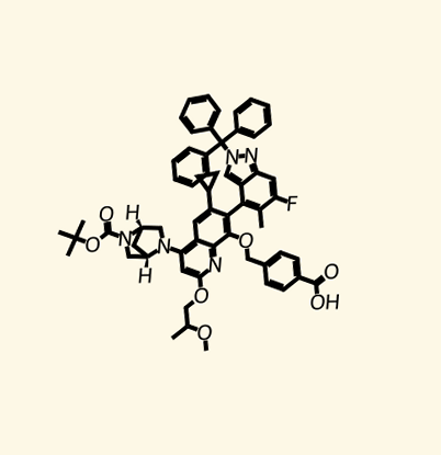 COC(C)COc1cc(N2C[C@@H]3C[C@H]2CN3C(=O)OC(C)(C)C)c2cc(C3CC3)c(-c3c(C)c(F)cc4nn(C(c5ccccc5)(c5ccccc5)c5ccccc5)cc34)c(OCc3ccc(C(=O)O)cc3)c2n1